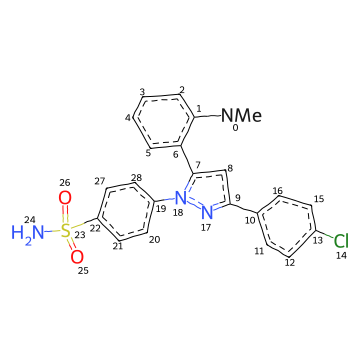 CNc1ccccc1-c1cc(-c2ccc(Cl)cc2)nn1-c1ccc(S(N)(=O)=O)cc1